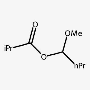 CCCC(OC)OC(=O)C(C)C